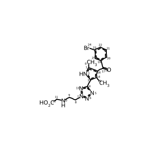 Cc1[nH]c(-c2nnn(CCNCC(=O)O)n2)c(C)c1C(=O)c1cccc(Br)c1